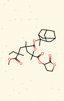 CCC(C)(CC(C)(CC(C)(C)C(=O)OC1CCOC1=O)C(=O)OC1(C)C2CC3CC(C2)CC1C3)C(=O)OC